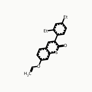 C=COc1ccc2cc(-c3ccc(CC)cc3CC)c(=O)sc2c1